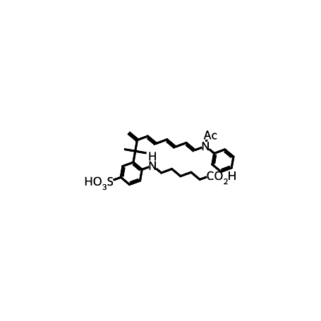 C=C(/C=C/C=C/C=C/N(C(C)=O)c1ccccc1)C(C)(C)c1cc(S(=O)(=O)O)ccc1NCCCCCC(=O)O